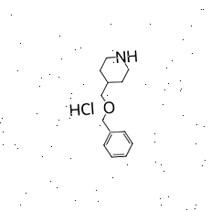 Cl.c1ccc(COCC2CCNCC2)cc1